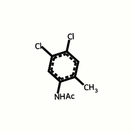 CC(=O)Nc1cc(Cl)c(Cl)cc1C